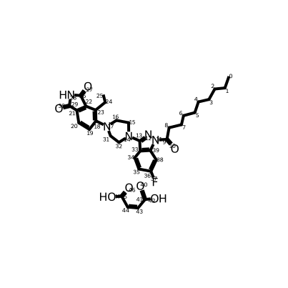 CCCCCCCCCC(=O)n1nc(N2CCN(c3ccc4c(c3CC)C(=O)NC4=O)CC2)c2ccc(F)cc21.O=C(O)/C=C\C(=O)O